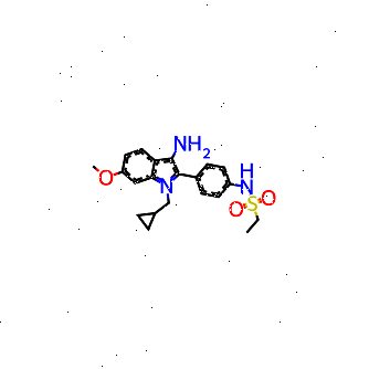 CCS(=O)(=O)Nc1ccc(-c2c(N)c3ccc(OC)cc3n2CC2CC2)cc1